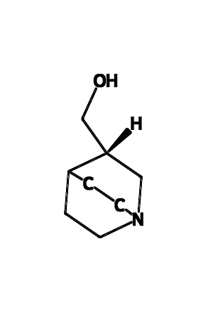 OC[C@@H]1CN2CCC1CC2